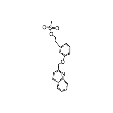 CS(=O)(=O)OCCc1cccc(OCc2ccc3ccccc3n2)c1